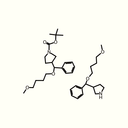 COCCCCOC(c1ccccc1)C1CCN(C(=O)OC(C)(C)C)C1.COCCCCOC(c1ccccc1)C1CCNC1